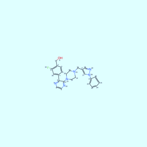 OCc1ccc(-c2nccnc2N2CCN(Cc3cnn(-c4ccccc4)c3)CC2)cc1F